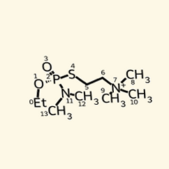 CCO[P@](=O)(SCC[N+](C)(C)C)N(C)C